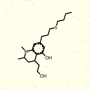 CCCCSCCCc1cc(O)c2c(c1)N(C)C(C)CC2CCO